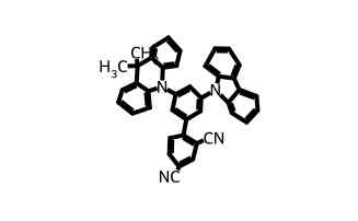 CC1(C)c2ccccc2N(c2cc(-c3ccc(C#N)cc3C#N)cc(-n3c4ccccc4c4ccccc43)c2)c2ccccc21